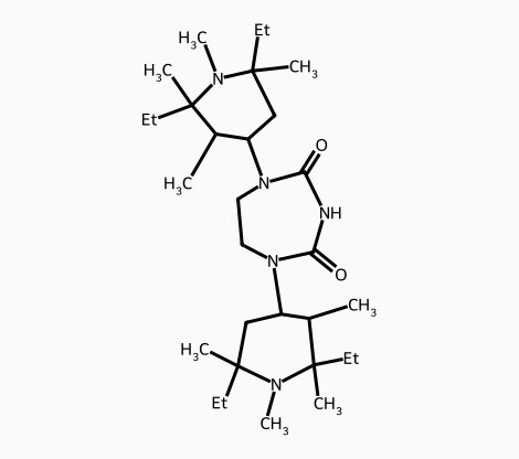 CCC1(C)CC(N2CCN(C3CC(C)(CC)N(C)C(C)(CC)C3C)C(=O)NC2=O)C(C)C(C)(CC)N1C